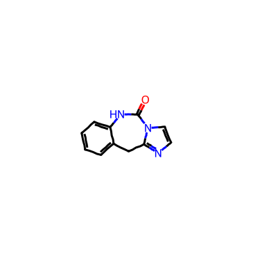 O=C1Nc2ccccc2Cc2nccn21